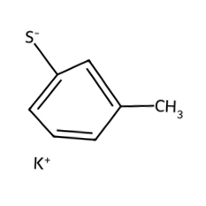 Cc1cccc([S-])c1.[K+]